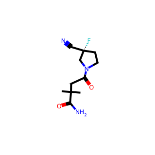 CC(C)([CH]C(=O)N1CC[C@](F)(C#N)C1)C(N)=O